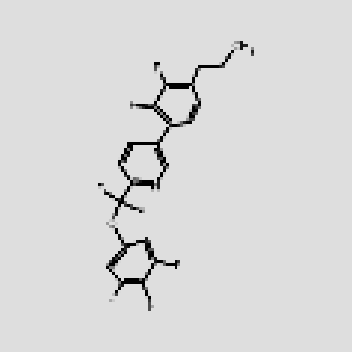 CCCc1ccc(-c2ccc(C(F)(F)Oc3cc(F)c(F)c(F)c3)nc2)c(F)c1F